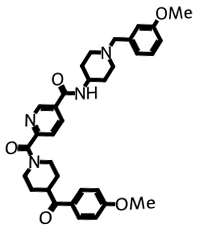 COc1ccc(C(=O)C2CCN(C(=O)c3ccc(C(=O)NC4CCN(Cc5cccc(OC)c5)CC4)cn3)CC2)cc1